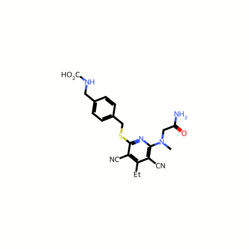 CCc1c(C#N)c(SCc2ccc(CNC(=O)O)cc2)nc(N(C)CC(N)=O)c1C#N